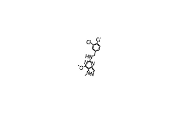 COc1nc(NCc2ccc(Cl)c(Cl)c2)nc2cnn(C)c12